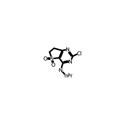 CCC[N]c1nc(Cl)nc2c1S(=O)(=O)CC2